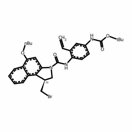 C=Cc1cc(NC(=O)OC(C)(C)C)ccc1NC(=O)N1C[C@@H](CBr)c2c1cc(OCCCC)c1ccccc21